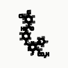 Cc1nc(Cc2ccc(NC(=O)c3ccc(Cl)c(Cl)c3)cc2)nc(N2CCCC2)c1CC(=O)O